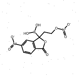 O=C1OC(CCO[N+](=O)[O-])(B(O)O)c2cc([N+](=O)[O-])ccc21